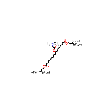 CCCCCC(CCCCC)CCOC(=O)CCCCCCCCC(CCCCCCC(=O)OCCC(CCCCC)CCCCC)OC(=O)CN(C)C